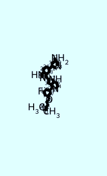 CN(C)CCOc1cc(F)cc(-c2nccc3[nH]c(-c4n[nH]c5ccc(-c6cncc(N)c6)cc45)cc23)c1